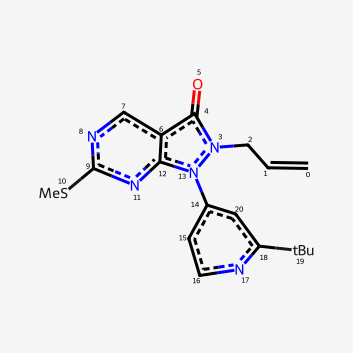 C=CCn1c(=O)c2cnc(SC)nc2n1-c1ccnc(C(C)(C)C)c1